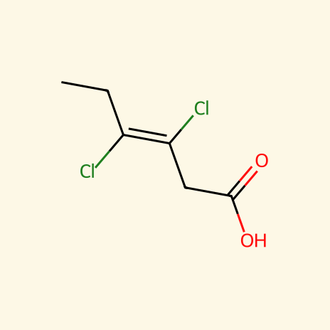 CCC(Cl)=C(Cl)CC(=O)O